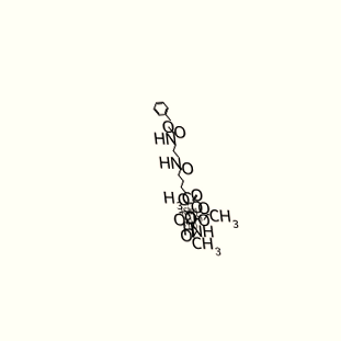 CC(=O)N[C@H]1[C@H]2OC[C@](COCCCCC(=O)NCCCNC(=O)OCc3ccccc3)(O2)[C@H](OC(C)=O)[C@@H]1OC(C)=O